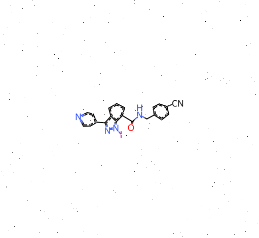 N#Cc1ccc(CNC(=O)c2cccc3c(-c4ccncc4)nn(I)c23)cc1